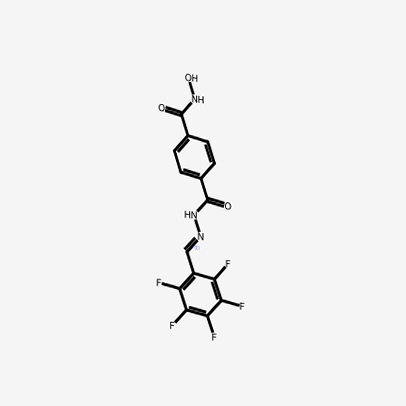 O=C(NO)c1ccc(C(=O)N/N=C/c2c(F)c(F)c(F)c(F)c2F)cc1